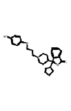 N#Cc1ccc(OCCCN2CCC(C3(C4CCCC4)OC(=O)c4ccccc43)CC2)cc1